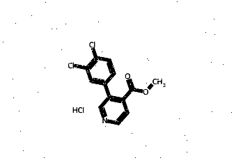 COC(=O)c1ccncc1-c1ccc(Cl)c(Cl)c1.Cl